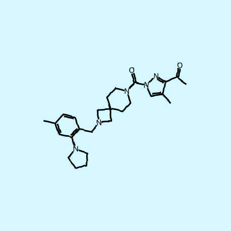 CC(=O)c1nn(C(=O)N2CCC3(CC2)CN(Cc2ccc(C)cc2N2CCCC2)C3)cc1C